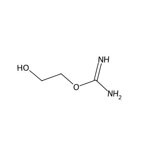 N=C(N)OCCO